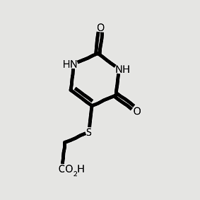 O=C(O)CSc1c[nH]c(=O)[nH]c1=O